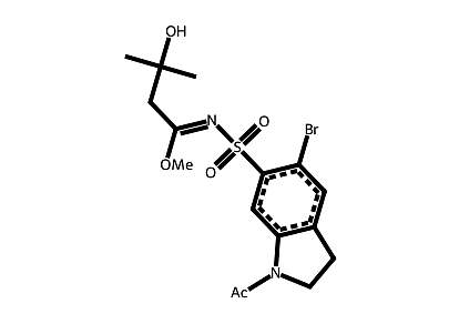 CO/C(CC(C)(C)O)=N\S(=O)(=O)c1cc2c(cc1Br)CCN2C(C)=O